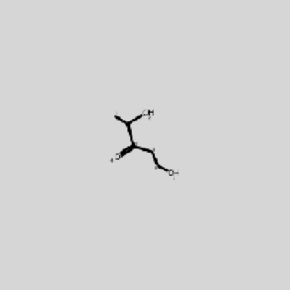 CC(O)C(=O)CCO